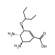 CCC(CC)O[C@H]1C=C(C(=O)O)C[C@@H](N)[C@@H]1N